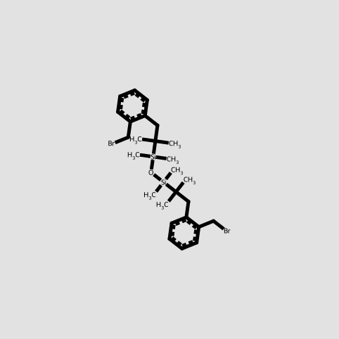 CC(C)(Cc1ccccc1CBr)[Si](C)(C)O[Si](C)(C)C(C)(C)Cc1ccccc1CBr